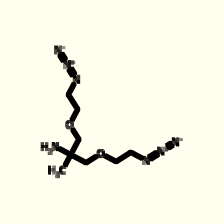 CC(N)(COCCN=[N+]=[N-])COCCN=[N+]=[N-]